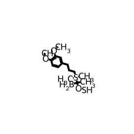 BC(C)(OS)S(C)(C)CCCc1ccc(OC)c(OC)c1